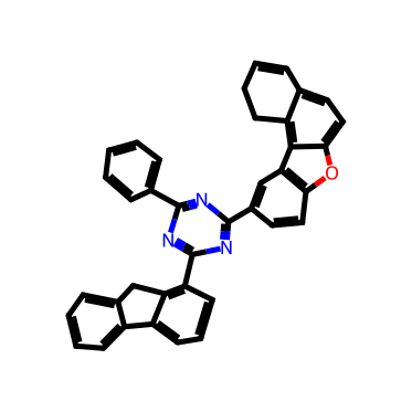 C1=Cc2ccc3oc4ccc(-c5nc(-c6ccccc6)nc(-c6cccc7c6Cc6ccccc6-7)n5)cc4c3c2CC1